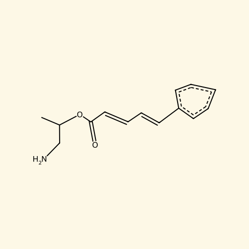 CC(CN)OC(=O)/C=C/C=C/c1ccccc1